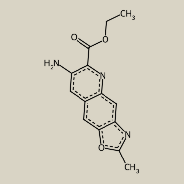 CCOC(=O)c1nc2cc3nc(C)oc3cc2cc1N